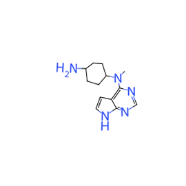 CN(c1ncnc2[nH]ccc12)C1CCC(N)CC1